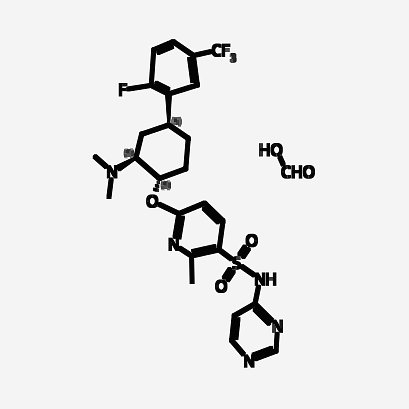 Cc1nc(O[C@H]2CC[C@H](c3cc(C(F)(F)F)ccc3F)C[C@@H]2N(C)C)ccc1S(=O)(=O)Nc1ccncn1.O=CO